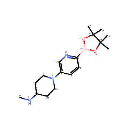 CNC1CCN(c2ccc(B3OC(C)(C)C(C)(C)O3)nc2)CC1